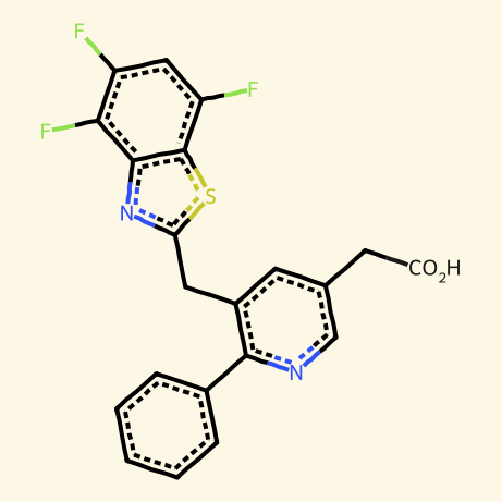 O=C(O)Cc1cnc(-c2ccccc2)c(Cc2nc3c(F)c(F)cc(F)c3s2)c1